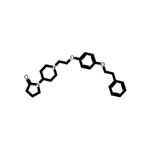 O=C1CCCN1C1CCN(CCOc2ccc(OCCc3ccccc3)cc2)CC1